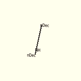 CCCCCCCCCCCCCCCCCCCCCCCCCCCCCCCCNCCCCCCCCCCCCCC